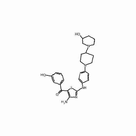 Nc1nc(Nc2ccc(N3CCC(N4CCCC(O)C4)CC3)cc2)sc1C(=O)c1cccc(O)c1